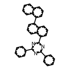 c1ccc(-c2nc(-c3ccccc3)nc(-c3cccc4c(-c5cccc6ccccc56)cccc34)n2)cc1